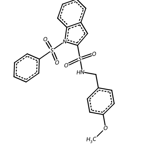 COc1ccc(CNS(=O)(=O)c2cc3ccccc3n2S(=O)(=O)c2ccccc2)cc1